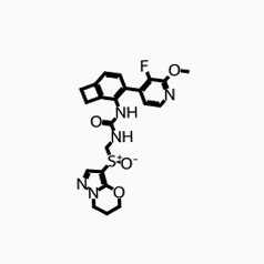 COc1nccc(-c2ccc3c(c2NC(=O)NC[S@@+]([O-])c2cnn4c2OCCC4)CC3)c1F